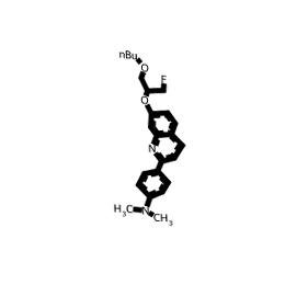 CCCCOCC(CF)Oc1ccc2ccc(-c3ccc(N(C)C)cc3)nc2c1